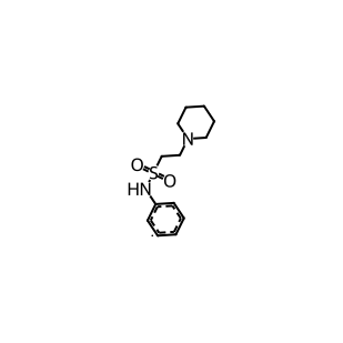 O=S(=O)(CCN1CCCCC1)Nc1c[c]ccc1